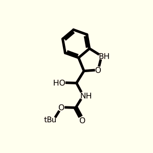 CC(C)(C)OC(=O)NC(O)C1OBc2ccccc21